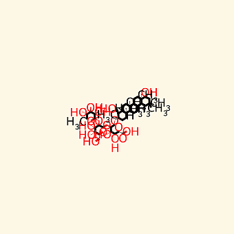 C[C@@H]1O[C@@H](O[C@H]2C(O[C@H]3[C@H](O[C@H]4CC[C@@]5(C)[C@@H](CC[C@]6(C)[C@@H]5CC=C5[C@@H]7CC(C)(C)C[C@@H](O)[C@]7(C)CC[C@]56C)[C@@]4(C)CO)O[C@H](C(=O)O)[C@@H](O)[C@@H]3O)O[C@H](CO)[C@H](O)[C@@H]2O)[C@H](O)[C@H](O)[C@H]1O